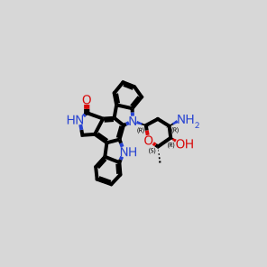 C[C@@H]1O[C@@H](n2c3ccccc3c3c4c(c5c6ccccc6[nH]c5c32)CNC4=O)C[C@@H](N)[C@H]1O